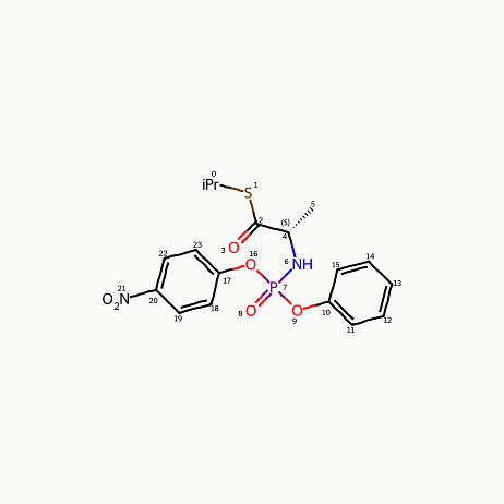 CC(C)SC(=O)[C@H](C)NP(=O)(Oc1ccccc1)Oc1ccc([N+](=O)[O-])cc1